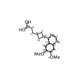 COc1cc2ncnc(N3CC(CCB(O)O)C3)c2cc1OC